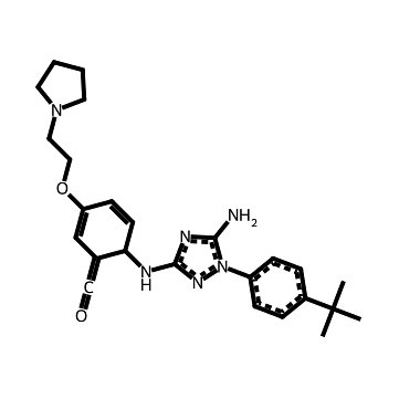 CC(C)(C)c1ccc(-n2nc(NC3C=CC(OCCN4CCCC4)=CC3=C=O)nc2N)cc1